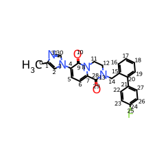 Cc1cn(-c2ccc3n(c2=O)CCN(Cc2ccccc2-c2ccc(F)cc2)C3=O)cn1